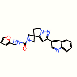 O=C(NCc1ccco1)N1CC2(CCn3nc(-c4cnc5ccccc5c4)cc32)C1